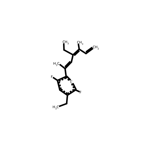 C=C/C(C)=C(\C=C(/C)c1cc(F)c(CC)cc1F)CC